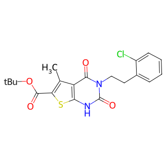 Cc1c(C(=O)OC(C)(C)C)sc2[nH]c(=O)n(CCc3ccccc3Cl)c(=O)c12